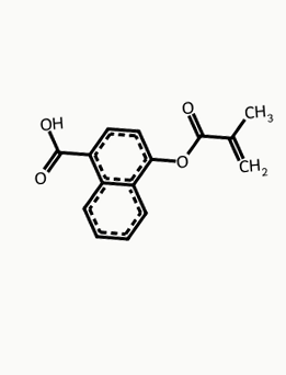 C=C(C)C(=O)Oc1ccc(C(=O)O)c2ccccc12